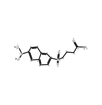 CN(C)c1ccc2cc(S(=O)(=O)CCCC(N)=O)ccc2c1